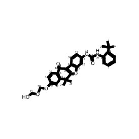 CC(C)(C)c1ccccc1NC(=O)Oc1ccc2c3c(oc2c1)C(C)(C)c1cc(OCOCO)ccc1C3=O